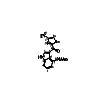 CNc1cccc2[nH]cc(C(=O)c3nc(C(C)C)cs3)c12